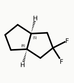 FC1(F)C[C@H]2CCC[C@H]2C1